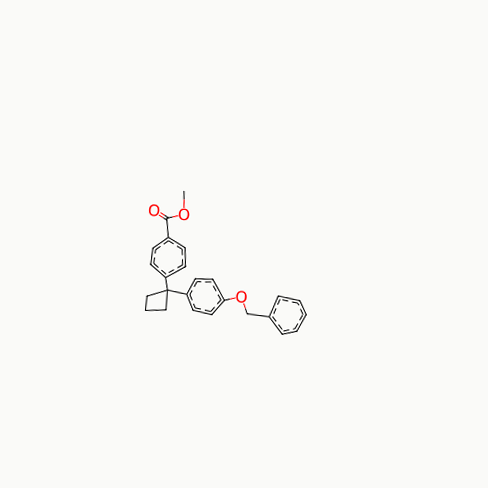 COC(=O)c1ccc(C2(c3ccc(OCc4ccccc4)cc3)CCC2)cc1